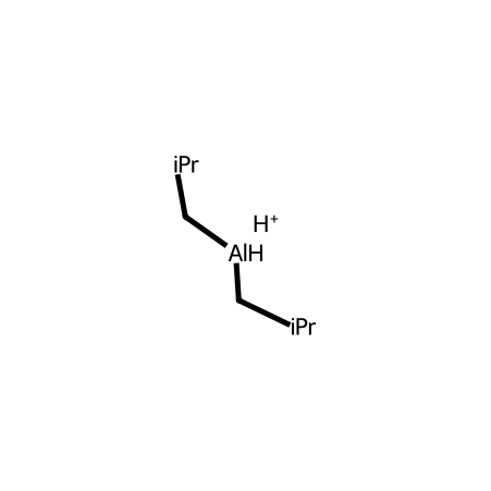 CC(C)[CH2][AlH][CH2]C(C)C.[H+]